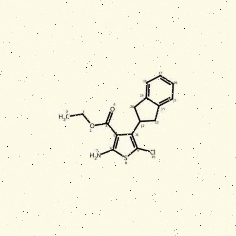 CCOC(=O)c1c(N)sc(Cl)c1C1Cc2ccccc2C1